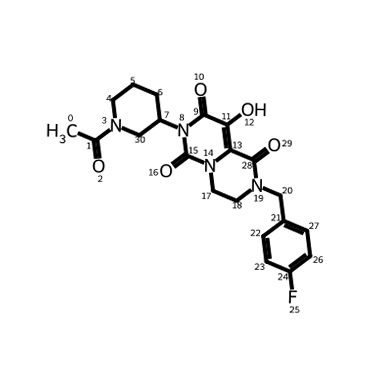 CC(=O)N1CCCC(n2c(=O)c(O)c3n(c2=O)CCN(Cc2ccc(F)cc2)C3=O)C1